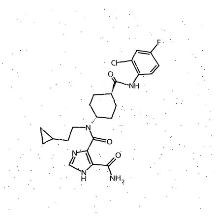 NC(=O)c1[nH]cnc1C(=O)N(CCC1CC1)[C@H]1CC[C@H](C(=O)Nc2ccc(F)cc2Cl)CC1